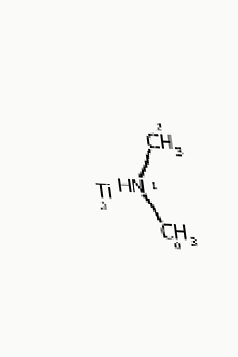 CNC.[Ti]